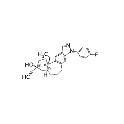 C#C[C@]1(O)CC[C@]2(CC)c3cc4cnn(-c5ccc(F)cc5)c4cc3CCC[C@H]2C1